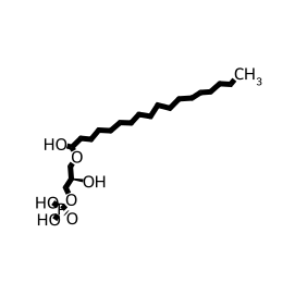 CCCCCCCCCCCCCCCCCC(O)OC[C@@H](O)COP(=O)(O)O